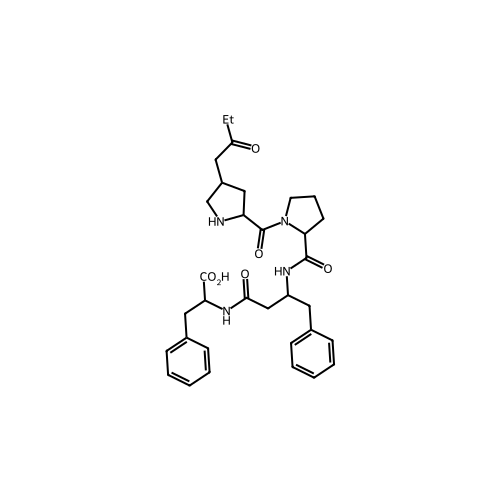 CCC(=O)CC1CNC(C(=O)N2CCCC2C(=O)NC(CC(=O)NC(Cc2ccccc2)C(=O)O)Cc2ccccc2)C1